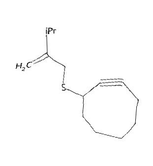 C=C(CSC1C#CCCCCC1)C(C)C